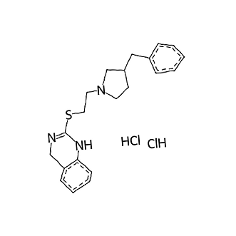 Cl.Cl.c1ccc(CC2CCN(CCSC3=NCc4ccccc4N3)C2)cc1